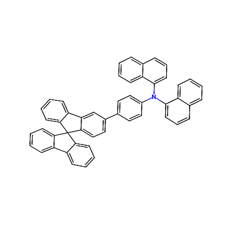 c1ccc2c(c1)-c1ccccc1C21c2ccccc2-c2cc(-c3ccc(N(c4cccc5ccccc45)c4cccc5ccccc45)cc3)ccc21